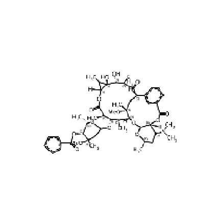 CO[C@]1(C)CC(O[C@H]2[C@H](C)[C@H]3OC4O[C@H](C)C[C@H](N(C)C)[C@H]4OC(=O)c4cccc(c4)[C@H](C[C@]3(C)OC)C(=O)[C@H](C)[C@@H](O)[C@@]3(O)C(C)[C@H]3OC(=O)[C@@H]2C)O[C@@H](C)[C@@H]1OC(=O)c1ccccc1